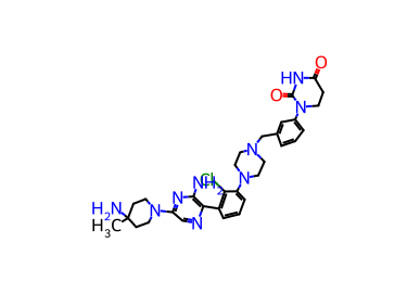 CC1(N)CCN(c2cnc(-c3cccc(N4CCN(Cc5cccc(N6CCC(=O)NC6=O)c5)CC4)c3Cl)c(N)n2)CC1